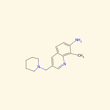 Cc1c(N)ccc2cc(CN3CCCCC3)cnc12